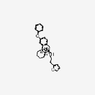 c1ccc(Oc2ccc3c(c2)[C@@]24CCCC[C@H]2[C@@H](C3)N(CCc2ccco2)CC4)cc1